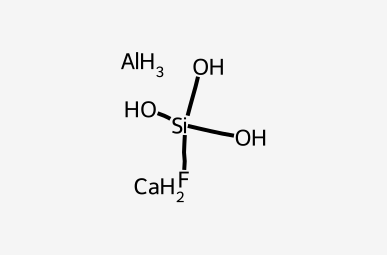 O[Si](O)(O)F.[AlH3].[CaH2]